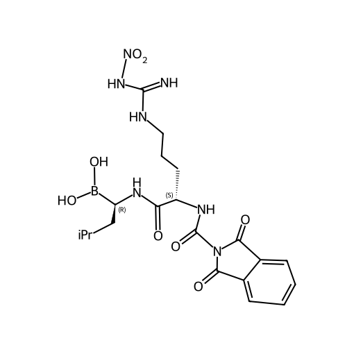 CC(C)C[C@H](NC(=O)[C@H](CCCNC(=N)N[N+](=O)[O-])NC(=O)N1C(=O)c2ccccc2C1=O)B(O)O